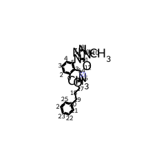 Cc1cccc(-n2nnn(C)c2=O)c1/C=N\OCCCc1ccccc1